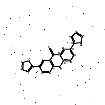 O=c1c2cc(-c3ccco3)ccc2sc2ccc(-c3ccco3)cc12